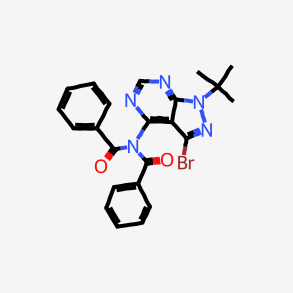 CC(C)(C)n1nc(Br)c2c(N(C(=O)c3ccccc3)C(=O)c3ccccc3)ncnc21